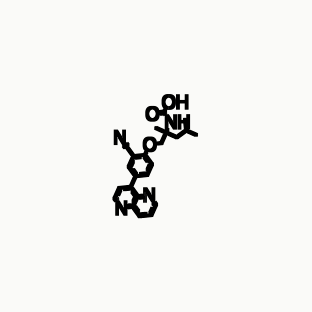 CC(C)CC(C)(COc1ccc(-c2ccnc3cccnc23)cc1C#N)NC(=O)O